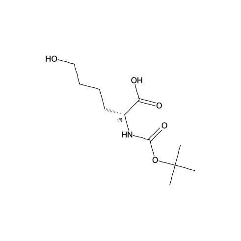 CC(C)(C)OC(=O)N[C@H](CCCCO)C(=O)O